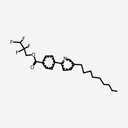 CCCCCCCCCc1ccc(-c2ccc(C(=O)OCC(F)(F)C(F)F)cc2)nc1